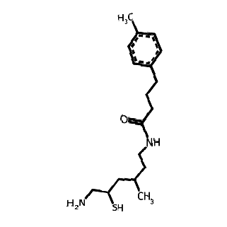 Cc1ccc(CCCC(=O)NCCC(C)CC(S)CN)cc1